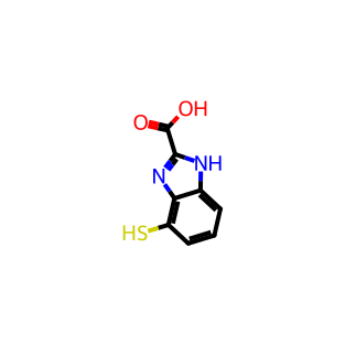 O=C(O)c1nc2c(S)cccc2[nH]1